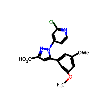 COc1cc(OC(F)(F)F)cc(-c2cc(C(=O)O)nn2-c2ccnc(Cl)c2)c1